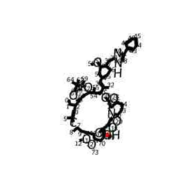 CCC1/C=C(\C)CC(C)CC(OC)C2OC(O)(C(=O)C(=O)N3CCCCC3C(=O)OC(C(C)=CC3CCC(Cc4nc(-c5ccccc5)c[nH]4)C(OC)C3)C(C)C(O[Si](C)(C)C(C)(C)C)CC1=O)C(C)CC2OC